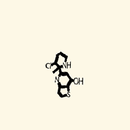 CC1(c2cc(O)c3sccc3n2)NC=CC=C1Cl